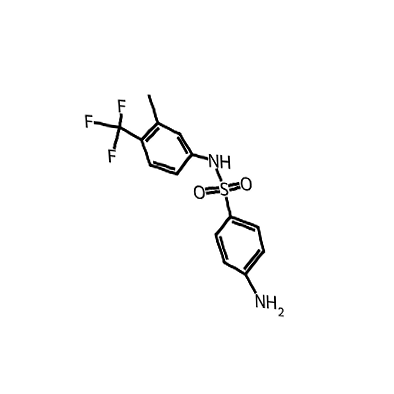 Cc1cc(NS(=O)(=O)c2ccc(N)cc2)ccc1C(F)(F)F